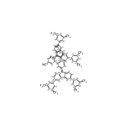 N#Cc1ccc(-n2c3ccc(-c4cc(C(F)(F)F)cc(C(F)(F)F)c4)cc3c3cc(-c4cc(C(F)(F)F)cc(C(F)(F)F)c4)ccc32)c(-c2cc(-n3c4ccc(-c5cc(C(F)(F)F)cc(C(F)(F)F)c5)cc4c4cc(-c5cc(C(F)(F)F)cc(C(F)(F)F)c5)ccc43)ccc2-c2ccc(C#N)cc2C(F)(F)F)c1